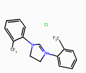 FC(F)(F)c1ccccc1N1C=[N+](c2ccccc2C(F)(F)F)CC1.[Cl-]